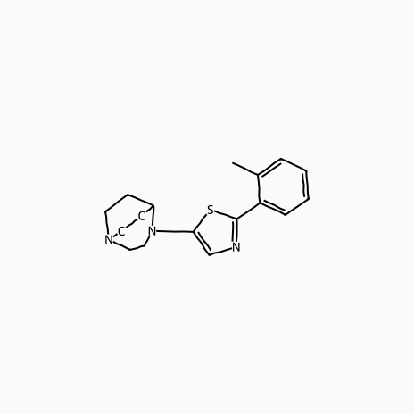 Cc1ccccc1-c1ncc(N2CCN3CCC2CC3)s1